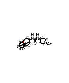 CC(=O)N1CCC(NC(=O)NC23CC4CC(Cl)(CC(C2)c2ccccc24)C3)CC1